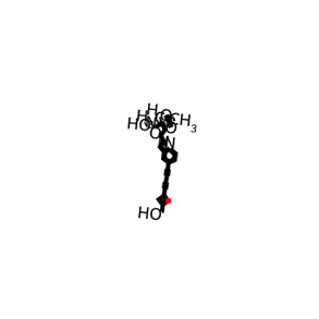 C[C@@](CCn1cc2cc(C#CC#CC34CC(CO)(C3)C4)ccc2n1)(C(=O)NO)S(C)(=O)=O